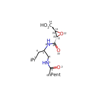 CCCCCC(=O)NCC(CC(C)C)NC(=O)[C@H]1O[C@@H]1C(=O)O